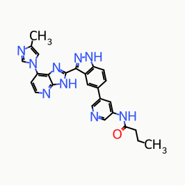 CCCC(=O)Nc1cncc(-c2ccc3[nH]nc(-c4nc5c(-n6cnc(C)c6)ccnc5[nH]4)c3c2)c1